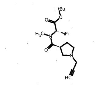 C#CCN1CC[C@H](C(=O)N(C)[C@H](C(=O)OC(C)(C)C)C(C)C)C1